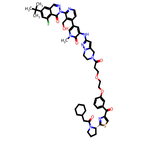 Cn1cc(-c2ccnc(-n3ncc4cc(C(C)(C)C)cc(F)c4c3=O)c2CO)cc(Nc2cc3n(n2)CCN(C(=O)CCOCCOc2cccc(C(=O)c4csc([C@@H]5CCCN5C(=O)CC5CCCCC5)n4)c2)C3)c1=O